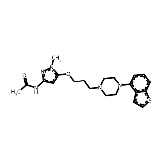 CC(=O)Nc1cc(OCCCN2CCN(c3cccc4sccc34)CC2)n(C)n1